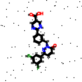 O=C(O)c1cnc(-c2cccc(Cn3nc(-c4cc(F)cc(F)c4)ccc3=O)c2)nc1